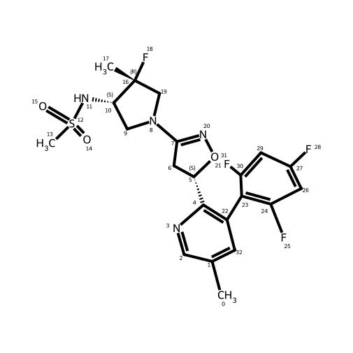 Cc1cnc([C@@H]2CC(N3C[C@H](NS(C)(=O)=O)[C@](C)(F)C3)=NO2)c(-c2c(F)cc(F)cc2F)c1